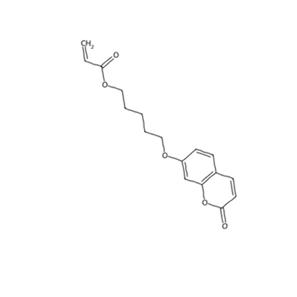 C=CC(=O)OCCCCCOc1ccc2ccc(=O)oc2c1